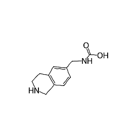 O=C(O)NCc1ccc2c(c1)CCNC2